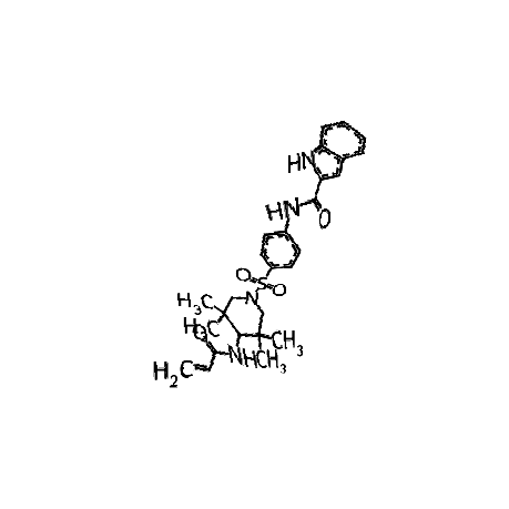 C=CC(=O)NC1C(C)(C)CN(S(=O)(=O)c2ccc(NC(=O)c3cc4ccccc4[nH]3)cc2)CC1(C)C